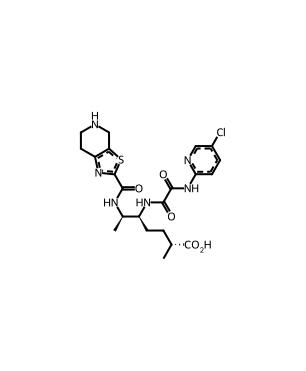 C[C@H](CC[C@H](NC(=O)C(=O)Nc1ccc(Cl)cn1)[C@@H](C)NC(=O)c1nc2c(s1)CNCC2)C(=O)O